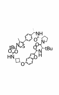 Cc1ncsc1-c1ccc([C@H](C)NC(=O)[C@@H]2CCCN2C(=O)C(NC(=O)c2cc3cc(O[C@H]4C[C@@H](NC(=O)OC(C)(C)C)C4)ccc3o2)C(C)(C)C)cc1